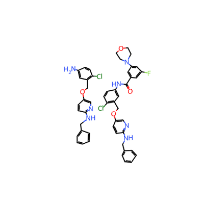 Nc1ccc(Cl)c(COc2ccc(NCc3ccccc3)nc2)c1.O=C(Nc1ccc(Cl)c(COc2ccc(NCc3ccccc3)nc2)c1)c1cc(F)cc(N2CCOCC2)c1